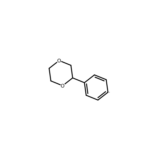 [c]1ccc(C2COCCO2)cc1